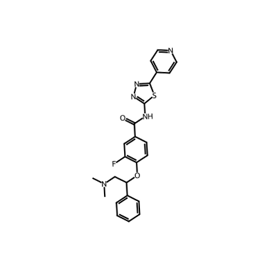 CN(C)CC(Oc1ccc(C(=O)Nc2nnc(-c3ccncc3)s2)cc1F)c1ccccc1